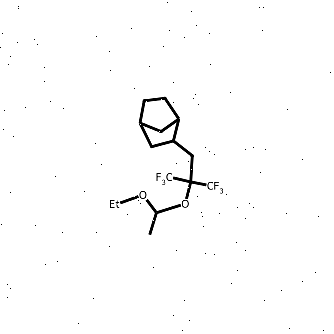 CCOC(C)OC(CC1CC2CCC1C2)(C(F)(F)F)C(F)(F)F